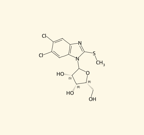 CSc1nc2cc(Cl)c(Cl)cc2n1C1O[C@H](CO)[C@H](O)[C@@H]1O